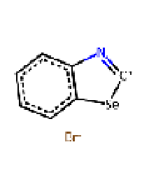 [Br-].[C+]1=Nc2ccccc2[Se]1